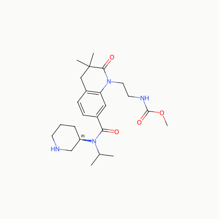 COC(=O)NCCN1C(=O)C(C)(C)Cc2ccc(C(=O)N(C(C)C)[C@@H]3CCCNC3)cc21